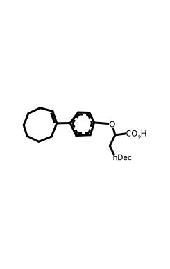 CCCCCCCCCCCC(Oc1ccc(C2=CCCCCCC2)cc1)C(=O)O